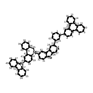 c1cc(-c2ccc3c4ccccc4c4ccccc4c3c2)cc(-c2cc3c(cn2)sc2ccc(N4Cc5ccccc5-c5cc(-n6c7ccccc7c7ccccc76)ccc54)cc23)c1